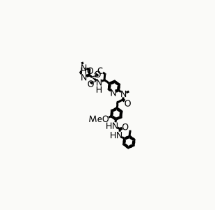 COc1cc(CC(=O)N(C)c2ccc(C(CC(=O)O)NS(=O)(=O)C3=NCN(C)C3)cn2)ccc1NC(=O)Nc1ccccc1C